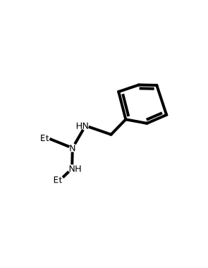 CCNN(CC)NCc1ccccc1